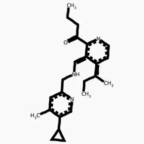 CCCC(=O)c1nccc(=C(\C)CC)/c1=C\NCc1cc(C)c(C2CC2)cn1